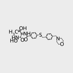 C[C@@H](O)[C@H](NC(=O)c1ccc(SCc2ccc(CN3CCOCC3)cc2)cc1)C(=O)NO